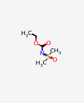 CCOC(=O)N=S(C)(C)=O